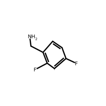 NCc1ccc(F)[c]c1F